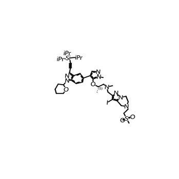 CC(C)[Si](C#Cc1nn(C2CCCCO2)c2ccc(-c3cnn(C)c3O[C@@H](C)CN(C)Cc3nn4c(c3I)CN(CCS(C)(=O)=O)CC4)cc12)(C(C)C)C(C)C